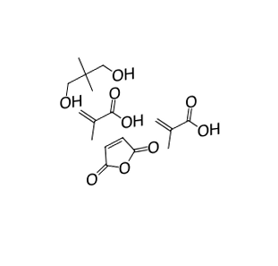 C=C(C)C(=O)O.C=C(C)C(=O)O.CC(C)(CO)CO.O=C1C=CC(=O)O1